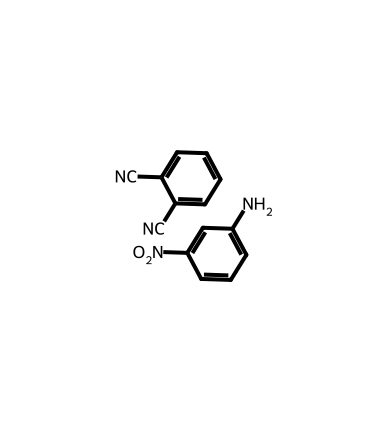 N#Cc1ccccc1C#N.Nc1cccc([N+](=O)[O-])c1